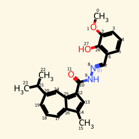 COc1cccc(/C=N/NC(=O)c2cc(C)c3cccc(C(C)C)cc2-3)c1O